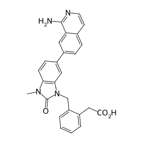 Cn1c(=O)n(Cc2ccccc2CC(=O)O)c2cc(-c3ccc4ccnc(N)c4c3)ccc21